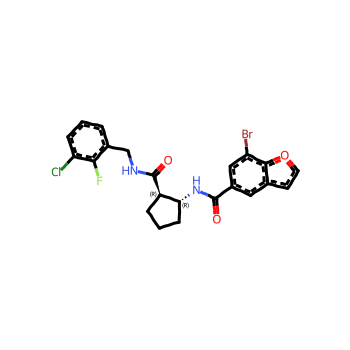 O=C(N[C@@H]1CCC[C@H]1C(=O)NCc1cccc(Cl)c1F)c1cc(Br)c2occc2c1